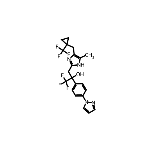 Cc1[nH]c(CC(O)(c2ccc(-n3cccn3)cc2)C(F)(F)F)nc1CC1(C(F)(F)F)CC1